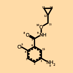 Nc1ccc(Cl)c(C(=O)NOCC2CC2)c1